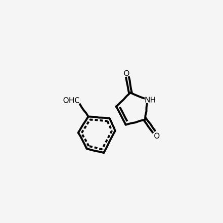 O=C1C=CC(=O)N1.O=Cc1ccccc1